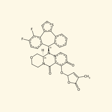 CC1=CC(Oc2c3n(ccc2=O)N([C@@H]2c4ccccc4-c4sccc4-c4c2ccc(F)c4F)[C@@H]2COCCN2C3=O)OC1=O